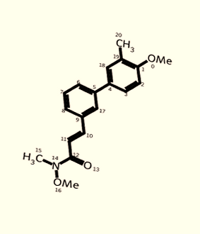 COc1ccc(-c2cccc(/C=C/C(=O)N(C)OC)c2)cc1C